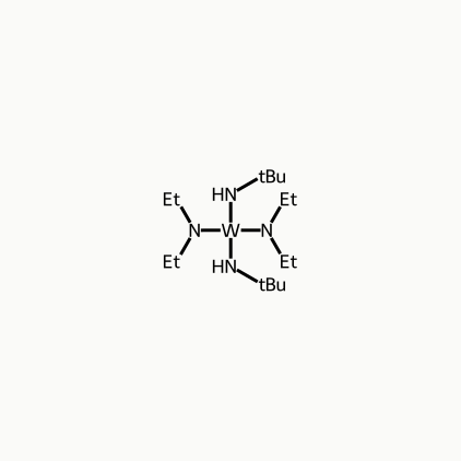 CC[N](CC)[W]([NH]C(C)(C)C)([NH]C(C)(C)C)[N](CC)CC